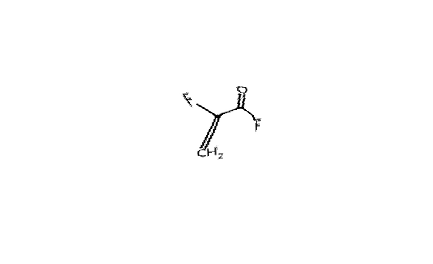 C=C(F)C(=O)F